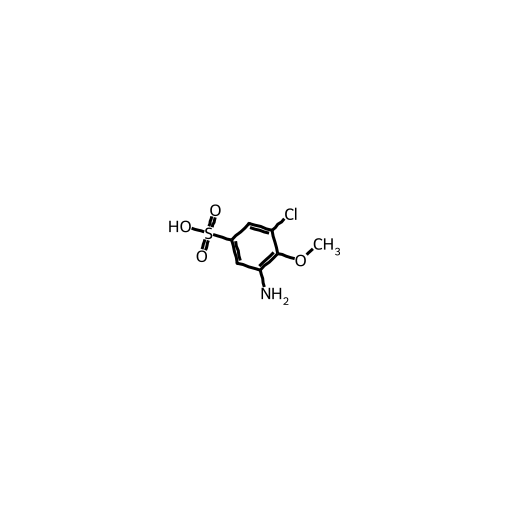 COc1c(N)cc(S(=O)(=O)O)cc1Cl